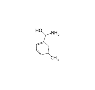 CC1C=CC=C(C(N)O)C1